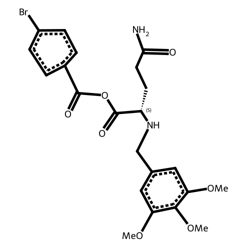 COc1cc(CN[C@@H](CCC(N)=O)C(=O)OC(=O)c2ccc(Br)cc2)cc(OC)c1OC